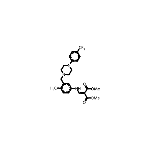 COC(=O)C(=CNc1ccc(C)c(CN2CCN(c3ccc(C(F)(F)F)cc3)CC2)c1)C(=O)OC